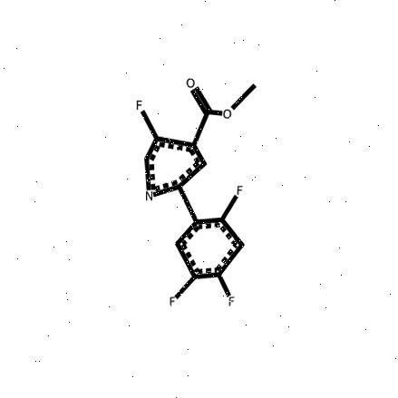 COC(=O)c1cc(-c2cc(F)c(F)cc2F)ncc1F